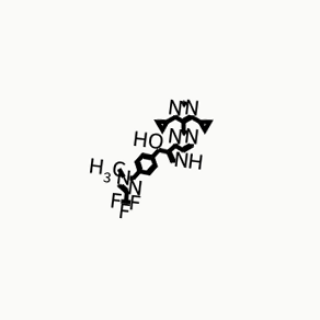 Cn1cc(C(F)(F)F)nc1-c1ccc(C(O)c2c[nH]c3cnc(-c4c(C5CC5)ncnc4C4CC4)nc23)cc1